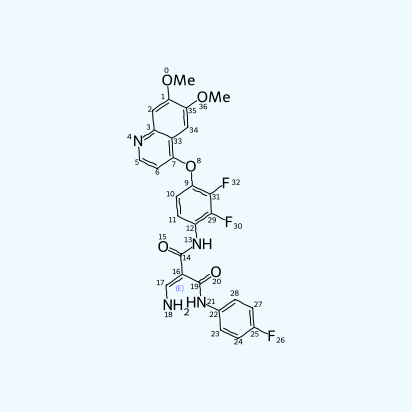 COc1cc2nccc(Oc3ccc(NC(=O)/C(=C/N)C(=O)Nc4ccc(F)cc4)c(F)c3F)c2cc1OC